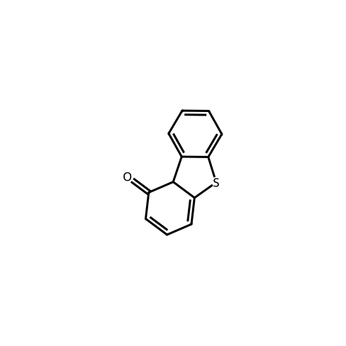 O=C1C=CC=C2Sc3ccccc3C12